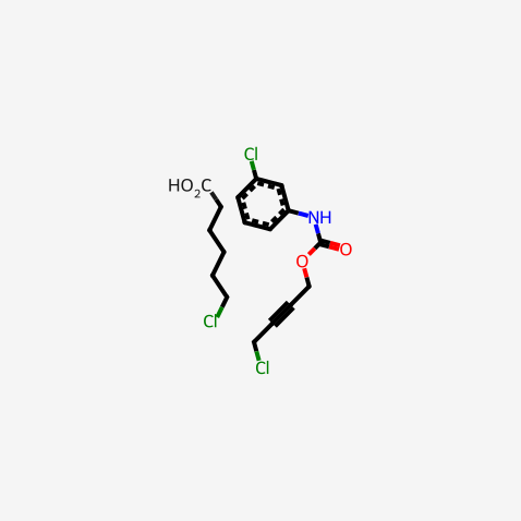 O=C(Nc1cccc(Cl)c1)OCC#CCCl.O=C(O)CCCCCCl